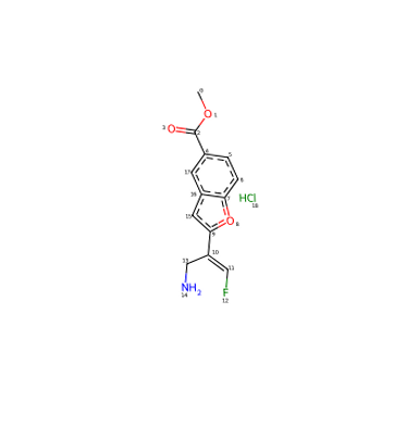 COC(=O)c1ccc2oc(/C(=C/F)CN)cc2c1.Cl